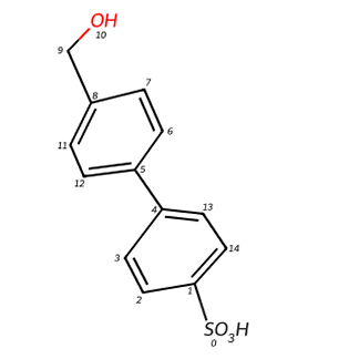 O=S(=O)(O)c1ccc(-c2ccc(CO)cc2)cc1